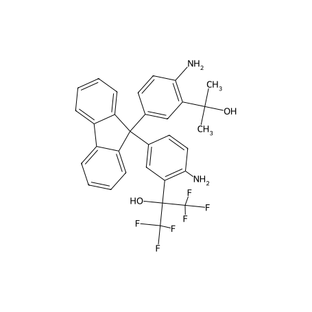 CC(C)(O)c1cc(C2(c3ccc(N)c(C(O)(C(F)(F)F)C(F)(F)F)c3)c3ccccc3-c3ccccc32)ccc1N